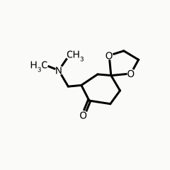 CN(C)CC1CC2(CCC1=O)OCCO2